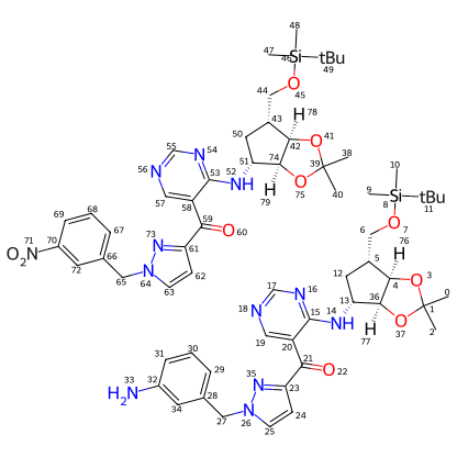 CC1(C)O[C@@H]2[C@@H](CO[Si](C)(C)C(C)(C)C)C[C@@H](Nc3ncncc3C(=O)c3ccn(Cc4cccc(N)c4)n3)[C@@H]2O1.CC1(C)O[C@@H]2[C@@H](CO[Si](C)(C)C(C)(C)C)C[C@@H](Nc3ncncc3C(=O)c3ccn(Cc4cccc([N+](=O)[O-])c4)n3)[C@@H]2O1